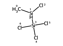 C[SiH](Cl)[Si](Cl)(Cl)Cl